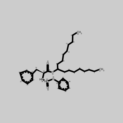 CCCCCCCCC(CCCCCCCC)OC(=O)[C@H](Cc1ccccc1)N[PH](=O)Oc1ccccc1